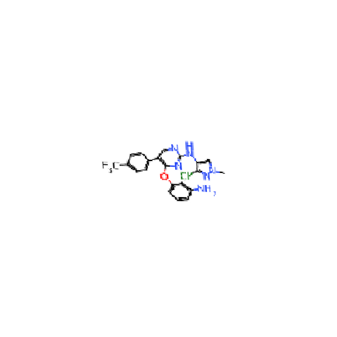 Cn1cc(Nc2ncc(-c3ccc(C(F)(F)F)cc3)c(Oc3cccc(N)c3)n2)c(Cl)n1